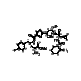 COC(=O)[C@@H](C)C[C@H](Cc1ccc(F)cc1)NC(=O)c1csc([C@@H](C[C@@H](NC(=O)[C@@H](NC(=O)[C@H]2CCCCN2C)C2CC2)C(C)C)OC(C)=O)n1